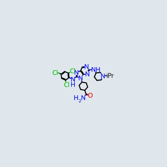 CC(C)N1CCCC(Nc2ncc3nc(Nc4c(Cl)cc(Cl)cc4Cl)n(C4CCC(C(N)=O)CC4)c3n2)C1